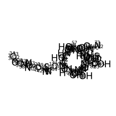 C[C@@H](O)[C@@H]1NC(=O)[C@@H](NC[C@H]2CC[C@H](c3nnc(-c4ccc(-c5cnc(N6CCC(OC7CCCCC7)CC6)nc5)cc4)s3)CC2)C[C@@H](O)CNC(=O)[C@@H]2[C@@H](O)[C@@H](C)CN2C(=O)[C@H]([C@H](O)CC(=O)NCCN(C)C)NC(=O)[C@H]([C@H](O)Cc2ccc(O)c(OS(=O)(=O)O)c2)NC(=O)[C@@H]2C[C@@H](O)CN2C1=O